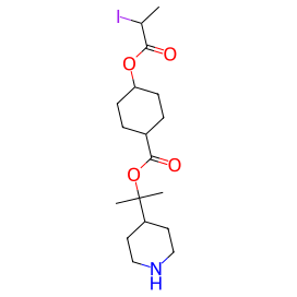 CC(I)C(=O)OC1CCC(C(=O)OC(C)(C)C2CCNCC2)CC1